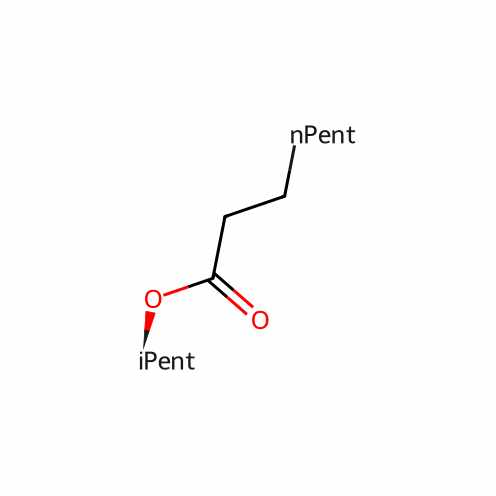 CCCCCCCC(=O)O[C@H](C)CCC